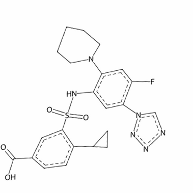 O=C(O)c1ccc(C2CC2)c(S(=O)(=O)Nc2cc(-n3cnnn3)c(F)cc2N2CCCCC2)c1